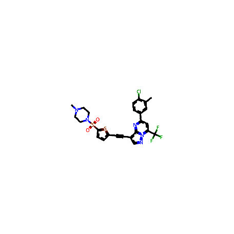 Cc1cc(-c2cc(C(F)(F)F)n3ncc(C#Cc4ccc(S(=O)(=O)N5CCN(C)CC5)s4)c3n2)ccc1Cl